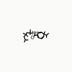 CC(C)CC(C)(C)CC(C)(C)NC(=O)C1=CC=CC(C)(C(C)C)C=C1